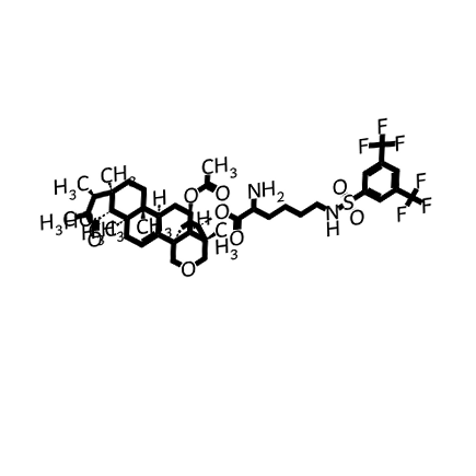 CC(=O)O[C@@H]1C[C@@]23COC[C@](C)([C@@H]2CC[C@H]2C3=CC[C@@]3(C)[C@H](C(=O)O)[C@@](C)([C@H](C)C(C)C)CC[C@]23C)[C@H]1OC(=O)C(N)CCCCNS(=O)(=O)c1cc(C(F)(F)F)cc(C(F)(F)F)c1